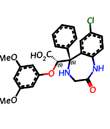 COc1cc(OC)cc(O[C@H](C(=O)O)[C@@]2(c3ccccc3)NCC(=O)Nc3ccc(Cl)cc32)c1